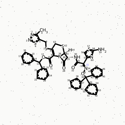 Cc1nnsc1CSC1=C(C(=O)OC(c2ccccc2)c2ccccc2)N2C(=O)[C@@H](NC(=O)/C(=N\OC(c3ccccc3)(c3ccccc3)c3ccccc3)c3csc(N)n3)[C@@H]2SC1